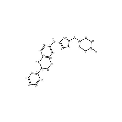 CN1CCN(Cc2cnc(Oc3ccc4c(c3)CCC(c3ccccc3)O4)s2)CC1